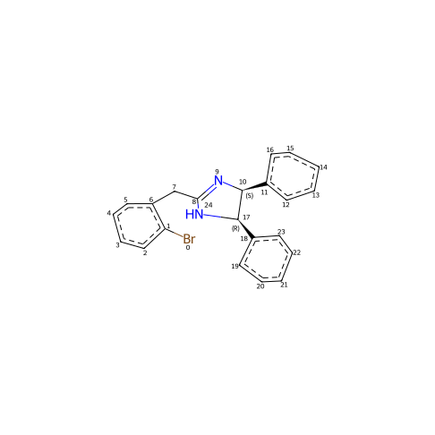 Brc1ccccc1CC1=N[C@@H](c2ccccc2)[C@@H](c2ccccc2)N1